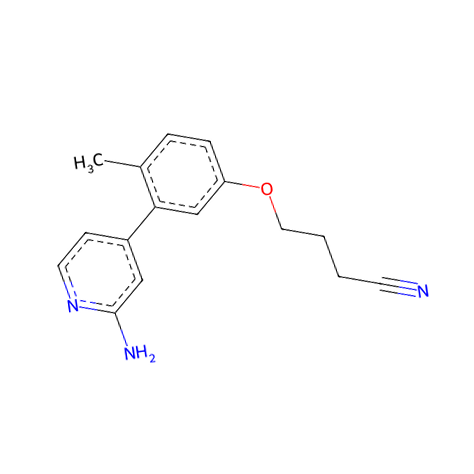 Cc1ccc(OCCCC#N)cc1-c1ccnc(N)c1